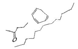 C1=CC=CCC=C1.CCCC(C)=O.CCCCCCCCCCCCC